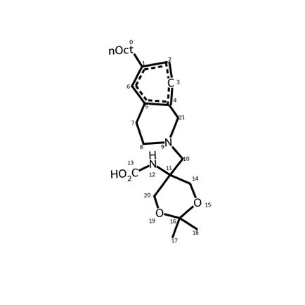 CCCCCCCCc1ccc2c(c1)CCN(CC1(NC(=O)O)COC(C)(C)OC1)C2